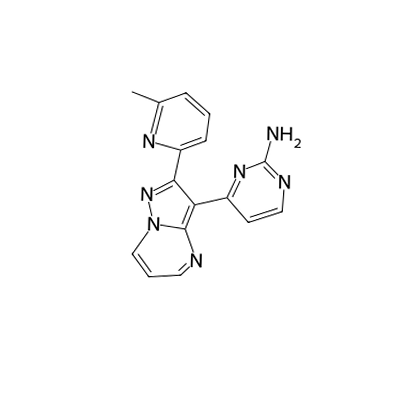 Cc1cccc(-c2nn3cccnc3c2-c2ccnc(N)n2)n1